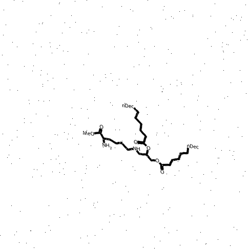 CCCCCCCCCCCCCCCC(=O)OCC(CNCCCCC(N)C(=O)OC)OC(=O)CCCCCCCCCCCCCCC